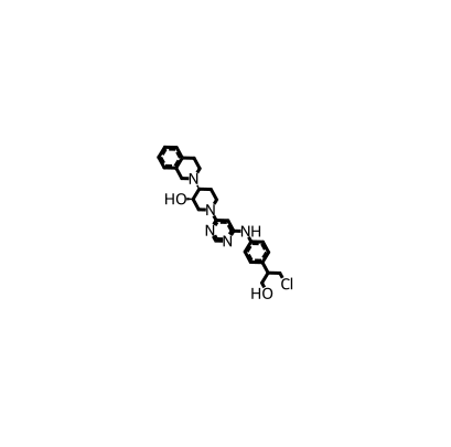 OCC(CCl)c1ccc(Nc2cc(N3CC[C@@H](N4CCc5ccccc5C4)[C@H](O)C3)ncn2)cc1